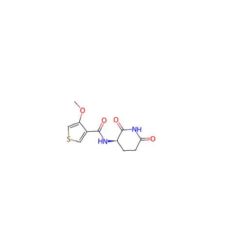 COc1cscc1C(=O)N[C@@H]1CCC(=O)NC1=O